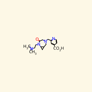 CN(C)CCN1C(=O)CN(Cc2cc(C(=O)O)ccn2)CC2CC21